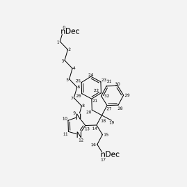 CCCCCCCCCCCCCCCCCCn1ccnc1C(CCCCCCCCCCCC)C(C)(Cc1ccccc1)c1ccccc1